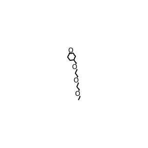 CCOCCCOCCCOCC1CCC2OC2C1